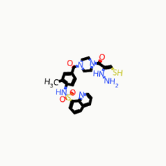 Cc1cc(C(=O)N2CCN(C(=O)/C(=C/S)NN)CC2)ccc1NS(=O)(=O)c1cccc2cccnc12